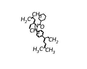 C=C/C(=C\C=C(C)C)c1ccc(CN(C(=O)C2CCCCC2)C(/C=C\C)=C/C(=C)C)cc1